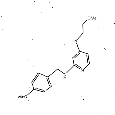 COCCNc1ccnc(NCc2ccc(OC)cc2)c1